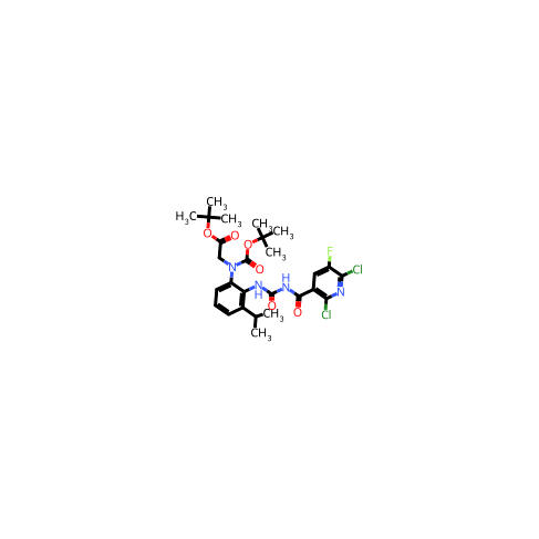 CC(C)c1cccc(N(CC(=O)OC(C)(C)C)C(=O)OC(C)(C)C)c1NC(=O)NC(=O)c1cc(F)c(Cl)nc1Cl